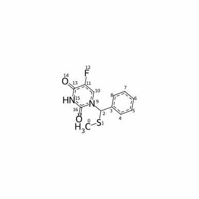 CSC(c1ccccc1)n1cc(F)c(=O)[nH]c1=O